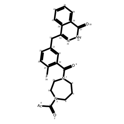 CC(=O)C(=O)N1CCCN(C(=O)c2cc(Cc3n[nH]c(=O)c4ccccc34)ccc2F)CC1